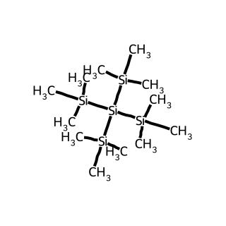 C[Si](C)(C)[Si]([Si](C)(C)C)([Si](C)(C)C)[Si](C)(C)C